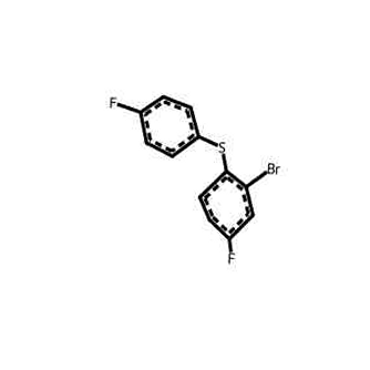 Fc1ccc(Sc2ccc(F)cc2Br)cc1